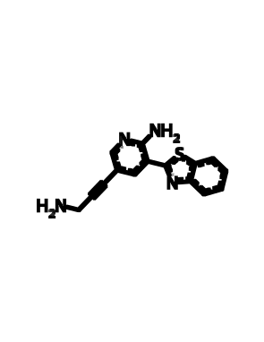 NCC#Cc1cnc(N)c(-c2nc3ccccc3s2)c1